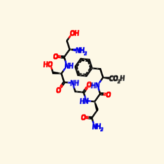 NC(=O)C[C@@H](NC(=O)CNC(=O)[C@@H](CO)NC(=O)[C@H](N)CO)C(=O)N[C@@H](Cc1ccccc1)C(=O)O